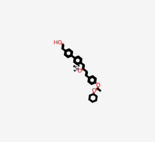 CC(Oc1ccc(C=CC(=Cc2ccc(-c3ccc(C=CO)cc3)cc2)O[Si](C)(C)C)cc1)OC1CCCCC1